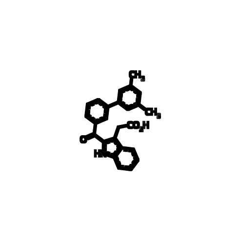 Cc1cc(C)cc(-c2cccc(C(=O)c3[nH]c4ccccc4c3CC(=O)O)c2)c1